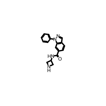 O=C(NC1CNC1)c1ccc2cnn(-c3ccccc3)c2c1